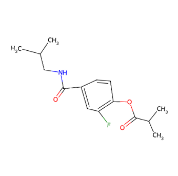 CC(C)CNC(=O)c1ccc(OC(=O)C(C)C)c(F)c1